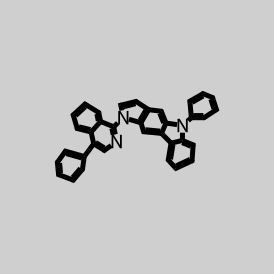 c1ccc(-c2cnc(-n3ccc4cc5c(cc43)c3ccccc3n5-c3ccccc3)c3ccccc23)cc1